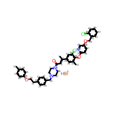 Br.C/C(=C\C(=O)N1CCN(Cc2ccc(CCOc3ccc(C)cc3)cc2)CC1)c1cc(C)c(Oc2ccc(OCc3ccccc3Cl)cn2)c(Cl)c1